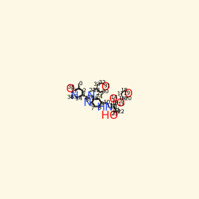 Cc1cc(-c2nc3ccc(CN[C@H](C(=O)OC4CCOC4)[C@H](C)O)cc3n2CC2CCOCC2)cn(C)c1=O